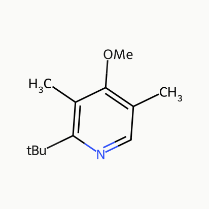 COc1c(C)cnc(C(C)(C)C)c1C